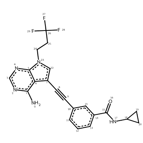 Nc1ncnc2c1c(C#Cc1cccc(C(=O)NC3CC3)c1)cn2CCC(F)(F)F